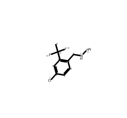 CCCNCc1ccc(Cl)cc1C(C)(F)F